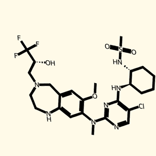 COc1cc2c(cc1N(C)c1ncc(Cl)c(N[C@@H]3CCCC[C@H]3NS(C)(=O)=O)n1)NCCN(C[C@@H](O)C(F)(F)F)C2